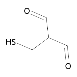 O=CC(C=O)CS